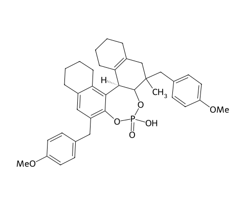 COc1ccc(Cc2cc3c(c4c2OP(=O)(O)OC2[C@@H]4C4=C(CCCC4)CC2(C)Cc2ccc(OC)cc2)CCCC3)cc1